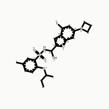 CCC(C)Oc1ccc(C)cc1S(=O)(=O)NC(O)c1cc2c(F)cc(N3CCC3)cc2o1